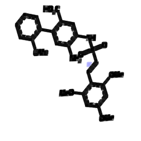 COc1cc(OC)c(/C=C/S(=O)(=O)Nc2cc(C(=O)O)c(-c3ccccc3OC)cc2N)c(OC)c1